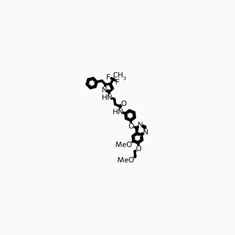 COCCOc1cc2ncnc(Oc3cccc(NC(=O)CCNC4=NC(Cc5ccccc5)C(C(C)(F)F)=C4)c3)c2cc1OC